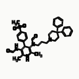 CC1=C(NC=O)C(c2ccc(S(C)(=O)=O)cc2)C(N(C=O)CCCN2CCC(c3ccccc3)(c3ccccc3)CC2)=C(C)N1